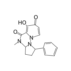 CN1C(=O)c2c(O)c(=O)ccn2N2C(c3ccccc3)CCC12